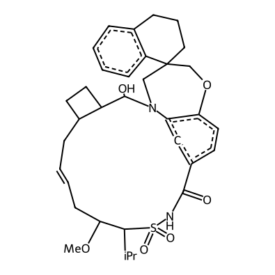 COC1CC=CCC2CCC2C(O)N2CC3(CCCc4ccccc43)COc3ccc(cc32)C(=O)NS(=O)(=O)C1C(C)C